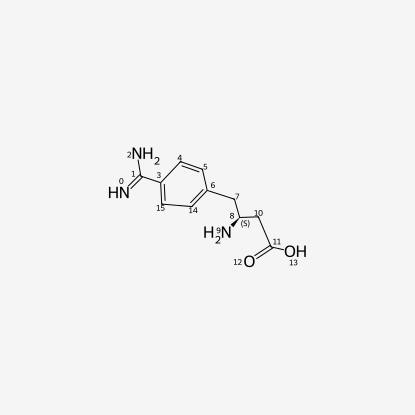 N=C(N)c1ccc(C[C@H](N)CC(=O)O)cc1